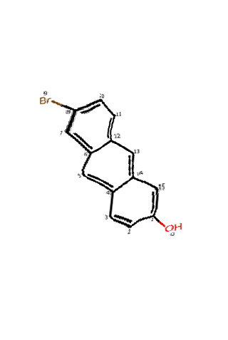 Oc1ccc2cc3cc(Br)ccc3cc2c1